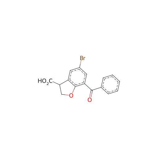 O=C(c1ccccc1)c1cc(Br)cc2c1OCC2C(=O)O